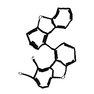 Fc1c(Cl)ccc2oc3cccc(-c4cccc5oc6ccccc6c45)c3c12